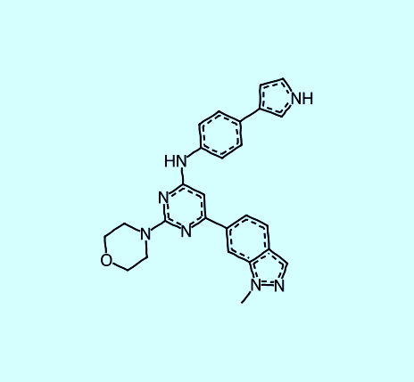 Cn1ncc2ccc(-c3cc(Nc4ccc(-c5cc[nH]c5)cc4)nc(N4CCOCC4)n3)cc21